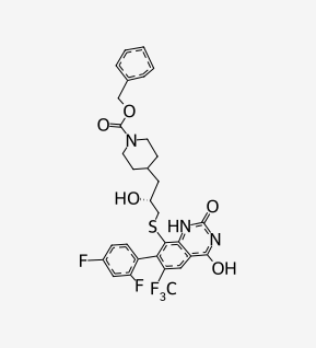 O=C(OCc1ccccc1)N1CCC(C[C@@H](O)CSc2c(-c3ccc(F)cc3F)c(C(F)(F)F)cc3c(O)nc(=O)[nH]c23)CC1